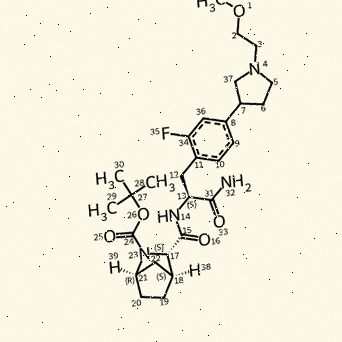 COCCN1CCC(c2ccc(C[C@H](NC(=O)[C@@H]3[C@H]4CC[C@H](C4)N3C(=O)OC(C)(C)C)C(N)=O)c(F)c2)C1